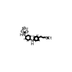 CCOCCCc1ccc(N[C@H]2CC[C@@H](NC(=O)OC(C)(C)C)CC2)cc1